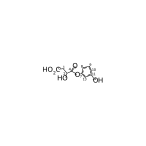 O=C(O)CC(O)C(=O)Oc1cccc(O)c1